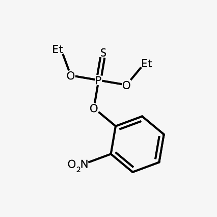 CCOP(=S)(OCC)Oc1ccccc1[N+](=O)[O-]